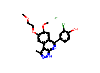 COCCOc1cc2c(cc1OC)c(-c1ccc(O)c(Cl)c1)nc1[nH]nc(C)c12.Cl